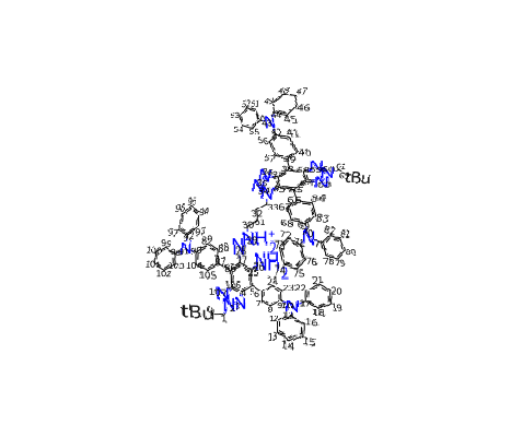 CC(C)(C)Cn1nc2c(-c3ccc(N(c4ccccc4)c4ccccc4)cc3)c(N)c([N-][NH2+]CCCCn3nnc4c(-c5ccc(N(C6=CCCC=C6)c6ccccc6)cc5)c5nn(CC(C)(C)C)nc5c(-c5ccc(N(c6ccccc6)c6ccccc6)cc5)c43)c(-c3ccc(N(c4ccccc4)c4ccccc4)cc3)c2n1